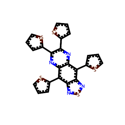 c1csc(-c2nc3c(-c4cccs4)c4nsnc4c(-c4cccs4)c3nc2-c2cccs2)c1